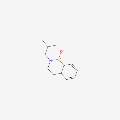 CC(C)CN1CCC2C=CC=CC2[S+]1[O-]